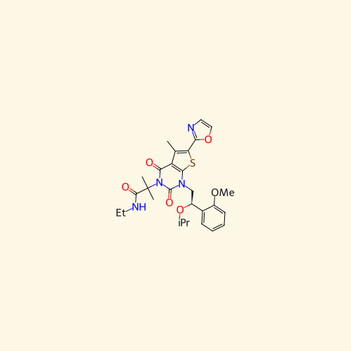 CCNC(=O)C(C)(C)n1c(=O)c2c(C)c(-c3ncco3)sc2n(C[C@H](OC(C)C)c2ccccc2OC)c1=O